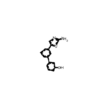 Nc1ncc(-c2cccc(-c3cccc(O)c3)c2)o1